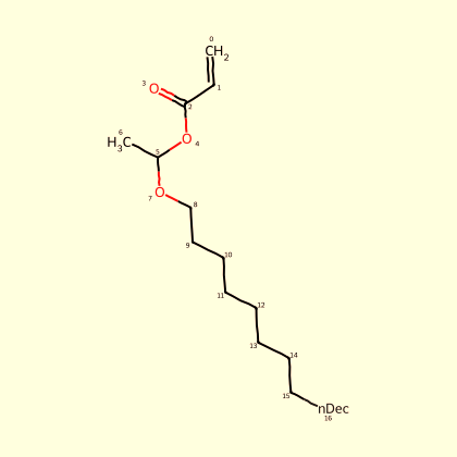 C=CC(=O)OC(C)OCCCCCCCCCCCCCCCCCC